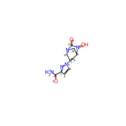 NC(=O)c1ccn(C2=CC3CN(C2)C(=O)N3O)n1